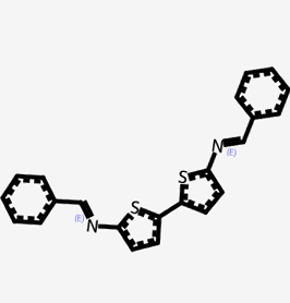 C(=N\c1ccc(-c2ccc(/N=C/c3ccccc3)s2)s1)/c1ccccc1